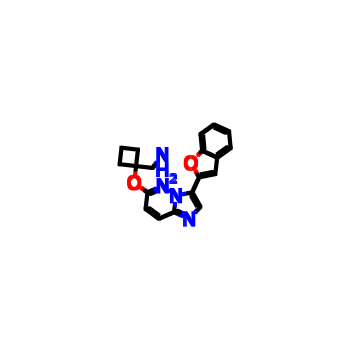 NCC1(Oc2ccc3ncc(-c4cc5ccccc5o4)n3n2)CCC1